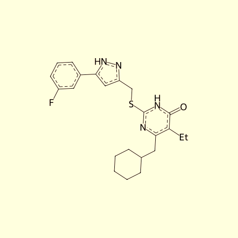 CCc1c(CC2CCCCC2)nc(SCc2cc(-c3cccc(F)c3)[nH]n2)[nH]c1=O